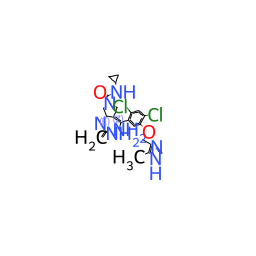 C=C(N)/N=C1/CN(C(=O)NC2CC2)C/C1=C(/N)c1cc(OCc2nc[nH]c2C)c(Cl)cc1Cl